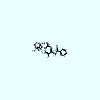 CC[C@]12CO[C@@H](C1O)[C@H](n1cc(C)c(NC(=O)c3ccccc3)nc1=O)O2